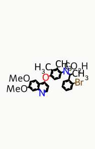 COc1cc2nccc(Oc3ccc(N(C(=O)O)C(C)c4ccccc4Br)c(C)c3C)c2cc1OC